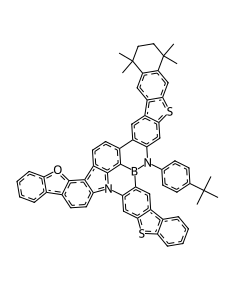 CC(C)(C)c1ccc(N2B3c4cc5c(cc4-n4c6ccc7c8ccccc8oc7c6c6ccc(c3c64)-c3cc4c(cc32)sc2cc3c(cc24)C(C)(C)CCC3(C)C)sc2ccccc25)cc1